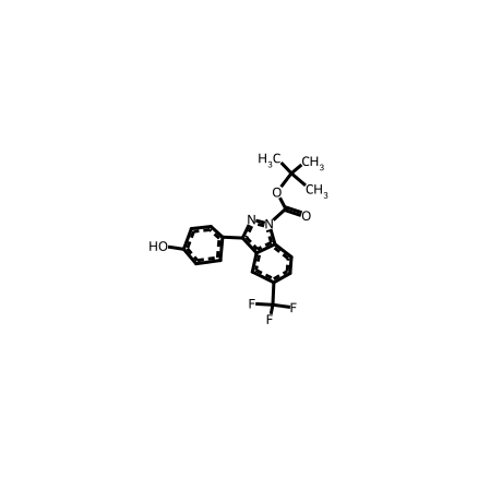 CC(C)(C)OC(=O)n1nc(-c2ccc(O)cc2)c2cc(C(F)(F)F)ccc21